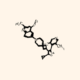 CCOc1cc(C)nc2ccc(N3CCC4(C=C(c5c(-c6c(C)cncc6C)noc5C5CC5)C4)CC3)cc12